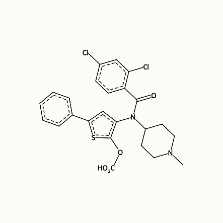 CN1CCC(N(C(=O)c2ccc(Cl)cc2Cl)c2cc(-c3ccccc3)sc2OC(=O)O)CC1